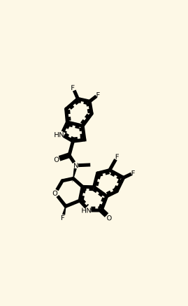 CN(C(=O)c1cc2cc(F)c(F)cc2[nH]1)[C@@H]1CO[C@H](F)c2[nH]c(=O)c3cc(F)c(F)cc3c21